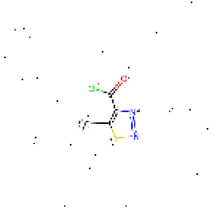 Cc1snnc1C(=O)Cl